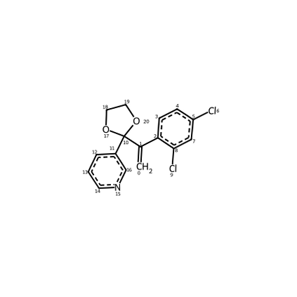 C=C(c1ccc(Cl)cc1Cl)C1(c2cccnc2)OCCO1